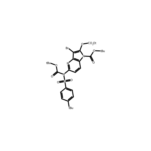 CCOC(=O)Oc1c(Br)c2nc(N(C(=O)OC(C)(C)C)S(=O)(=O)c3ccc(C(C)(C)C)cc3)ccc2n1C(=O)OC(C)(C)C